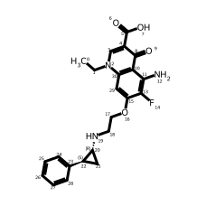 CCn1cc(C(=O)O)c(=O)c2c(N)c(F)c(OCCN[C@@H]3C[C@H]3c3ccccc3)cc21